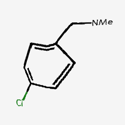 [CH2]NCc1ccc(Cl)cc1